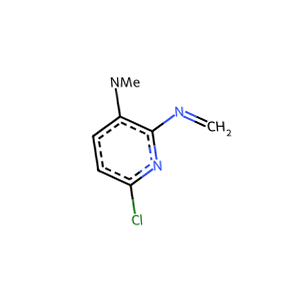 C=Nc1nc(Cl)ccc1NC